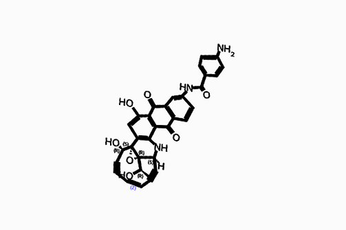 C[C@@H](O)[C@@]12O[C@]13c1cc(O)c4c(c1N[C@H]2C#C/C=C\C#C[C@H]3O)C(=O)c1ccc(NC(=O)c2ccc(N)cc2)cc1C4=O